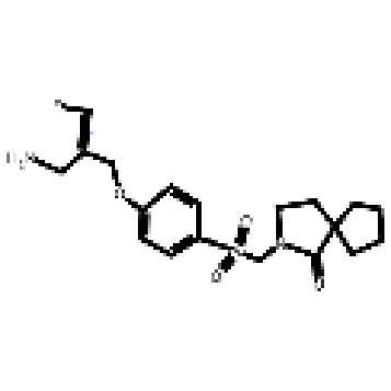 NC/C(=C\F)COc1ccc(S(=O)(=O)CN2CCC3(CCCC3)C2=O)cc1